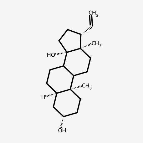 C=C[C@H]1CC[C@]2(O)C3CC[C@@H]4C[C@@H](O)CC[C@]4(C)C3CC[C@]12C